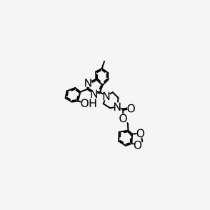 Cc1ccc2c(N3CCN(C(=O)OCc4cccc5c4OCO5)CC3)nc(-c3ccccc3O)nc2c1